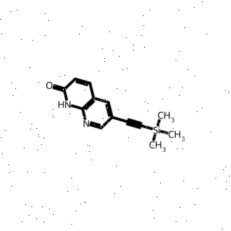 C[Si](C)(C)C#Cc1cnc2[nH]c(=O)ccc2c1